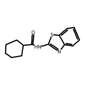 O=C(Nc1nc2ccccc2s1)C1CCCCC1